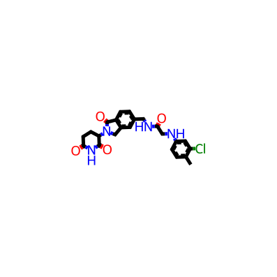 Cc1ccc(NCC(=O)NCc2ccc3c(c2)CN(C2CCC(=O)NC2=O)C3=O)cc1Cl